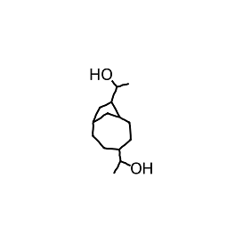 CC(O)C1CCC2CC(CC1)C(C(C)O)C2